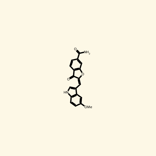 COc1ccc2[nH]cc(/C=C3/Oc4cc(C(N)=O)ccc4C3=O)c2c1